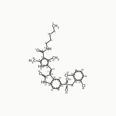 CCSCCNC(=O)c1c(C)[nH]c(/C=C2\C(=O)Nc3ccc(S(=O)(=O)Cc4c(Cl)cccc4Cl)cc32)c1C